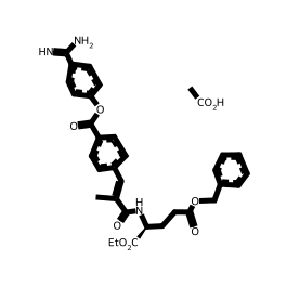 CC(=O)O.CCOC(=O)[C@H](CCC(=O)OCc1ccccc1)NC(=O)C(C)=Cc1ccc(C(=O)Oc2ccc(C(=N)N)cc2)cc1